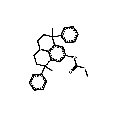 COC(=O)Nc1cc2c3c(c1)C(C)(c1ccncc1)CCN3CCC2(C)c1ccccc1